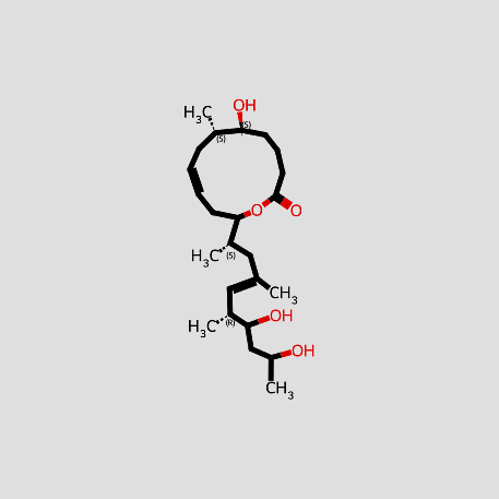 CC(=C[C@@H](C)C(O)CC(C)O)C[C@H](C)C1CC=CC[C@H](C)[C@@H](O)CCCC(=O)O1